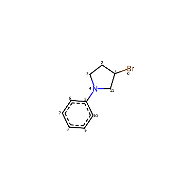 BrC1CCN(c2ccccc2)C1